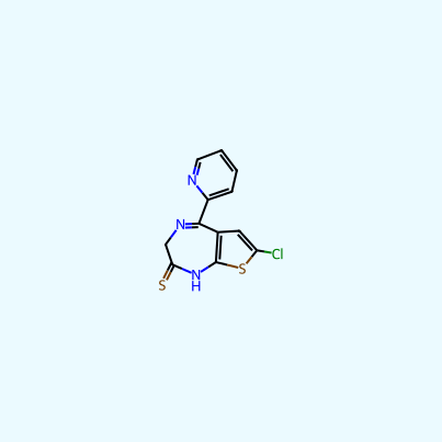 S=C1CN=C(c2ccccn2)c2cc(Cl)sc2N1